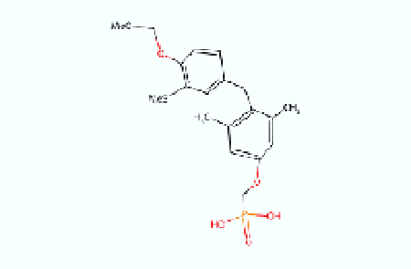 COCOc1ccc(Cc2c(C)cc(OCP(=O)(O)O)cc2C)cc1SC